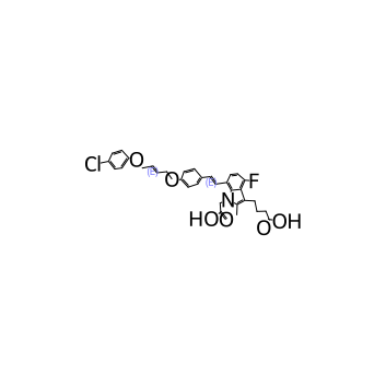 Cc1c(CCCC(=O)O)c2c(F)ccc(/C=C/c3ccc(OC/C=C/COc4ccc(Cl)cc4)cc3)c2n1CC(=O)O